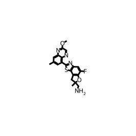 COc1cnc2c(-c3nc4cc(F)c5c(c4s3)CC(C)(CN)O5)cc(C)cc2n1